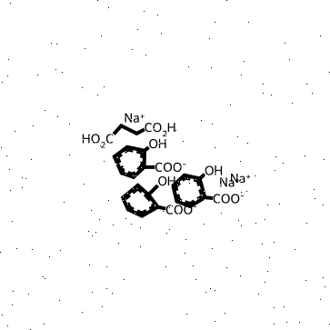 O=C(O)CCC(=O)O.O=C([O-])c1ccccc1O.O=C([O-])c1ccccc1O.O=C([O-])c1ccccc1O.[Na+].[Na+].[Na+]